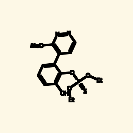 CCOP(=S)(OCC)Oc1c(O)cccc1-c1ccnnc1OC